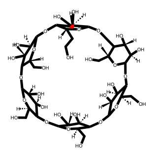 OCC[C@H]1OC2OC3[C@@H](CO)OC(OC4[C@@H](CO)OC(OC5[C@@H](CO)OC(OC6[C@@H](CO)OC(OC7[C@@H](CO)OC(OC1[C@H](O)[C@H]2O)[C@H](O)[C@H]7O)[C@H](O)[C@H]6O)[C@H](O)[C@H]5O)[C@H](O)[C@H]4O)[C@H](O)[C@H]3O